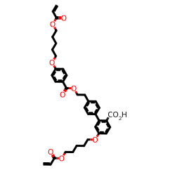 C=CC(=O)OCCCCCOc1ccc(C(=O)OCCc2ccc(-c3cc(OCCCCCOC(=O)C=C)ccc3C(=O)O)cc2)cc1